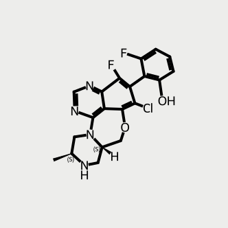 C[C@H]1CN2c3ncnc4c(F)c(-c5c(O)cccc5F)c(Cl)c(c34)OC[C@@H]2CN1